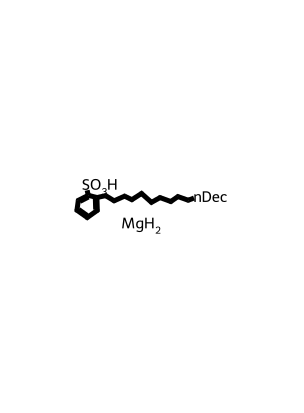 CCCCCCCCCCCCCCCCCCCCc1ccccc1S(=O)(=O)O.[MgH2]